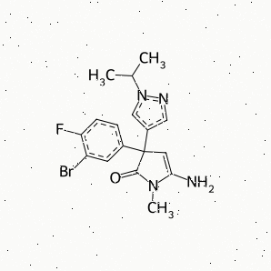 CC(C)n1cc(C2(c3ccc(F)c(Br)c3)C=C(N)N(C)C2=O)cn1